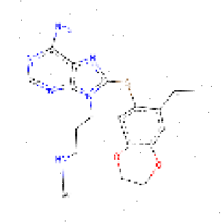 C=Cc1cc2c(cc1Sc1nc3c(N)ncnc3n1CCCNC(C)C)OCCO2